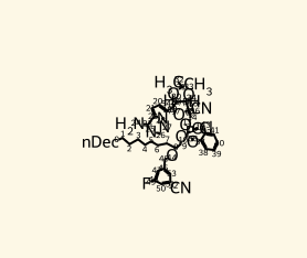 CCCCCCCCCCCCCCCCCC(COP(=O)(OC[C@@]1(C#N)O[C@@H](c2ccc3c(N)ncnn23)[C@@H]2OC(C)(C)O[C@@H]21)Oc1ccccc1Cl)OCc1cc(F)cc(C#N)c1